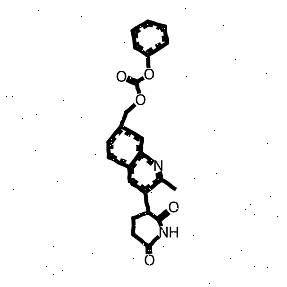 Cc1nc2cc(COC(=O)Oc3ccccc3)ccc2cc1C1CCC(=O)NC1=O